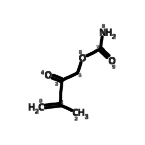 C=C(C)C(=O)COC(N)=O